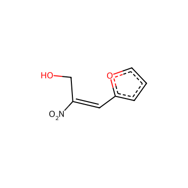 O=[N+]([O-])C(=Cc1ccco1)CO